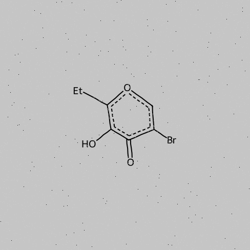 CCc1occ(Br)c(=O)c1O